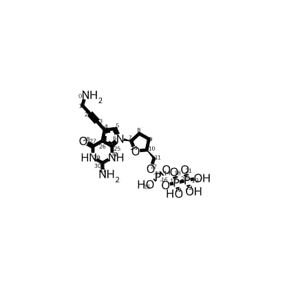 NCC#Cc1cn([C@H]2CC[C@@H](COP(=O)(O)OP(=O)(O)P(=O)(O)O)O2)c2c1C(=O)NC(N)N2